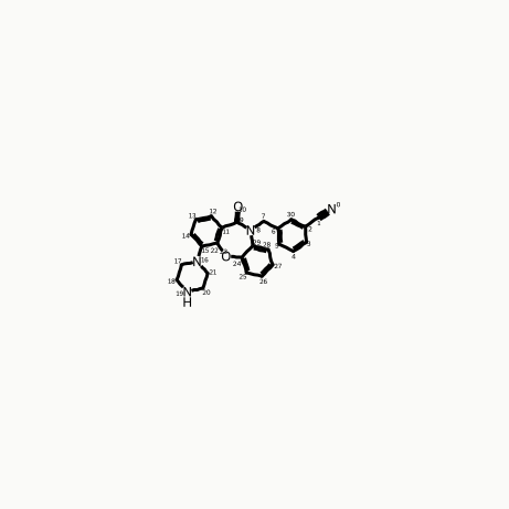 N#Cc1cccc(CN2C(=O)c3cccc(N4CCNCC4)c3Oc3ccccc32)c1